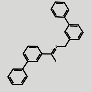 C/C(=N\Cc1cccc(-c2ccccc2)c1)c1cccc(-c2ccccc2)c1